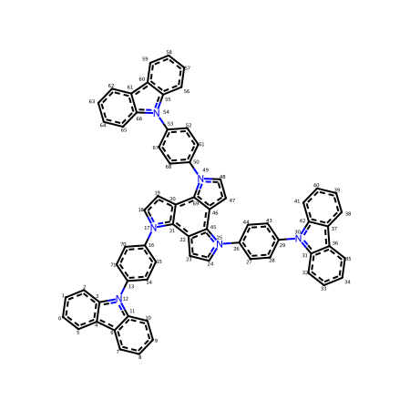 c1ccc2c(c1)c1ccccc1n2-c1ccc(-n2ccc3c2c2ccn(-c4ccc(-n5c6ccccc6c6ccccc65)cc4)c2c2ccn(-c4ccc(-n5c6ccccc6c6ccccc65)cc4)c32)cc1